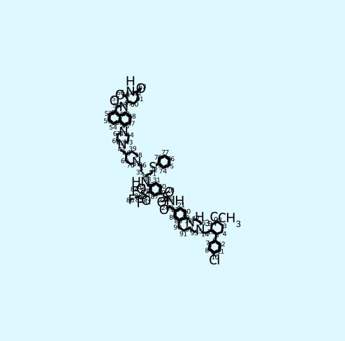 CC1(C)CCC(c2ccc(Cl)cc2)=C(CN2CCN3c4ccc(C(=O)NS(=O)(=O)c5ccc(N[C@H](CCN6CCC(CN7CCN(c8ccc9c%10c(cccc8%10)C(=O)N9C8CCC(=O)NC8=O)CC7)CC6)CSc6ccccc6)c(S(=O)(=O)C(F)(F)F)c5)cc4CCC3C2)C1